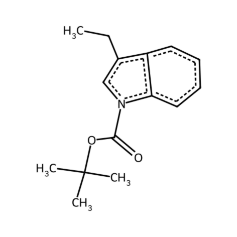 CCc1cn(C(=O)OC(C)(C)C)c2ccccc12